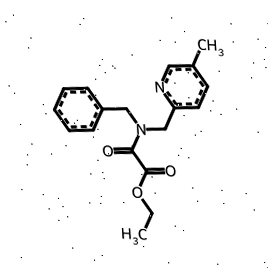 CCOC(=O)C(=O)N(Cc1ccccc1)Cc1ccc(C)cn1